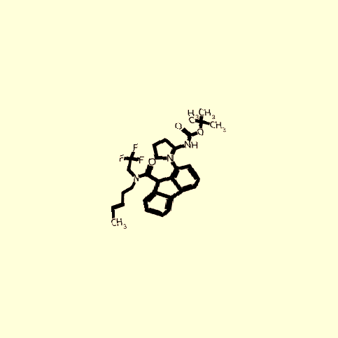 CCCCCN(CC(F)(F)F)C(=O)C1c2ccccc2-c2cccc(N3CCCC3NC(=O)OC(C)(C)C)c21